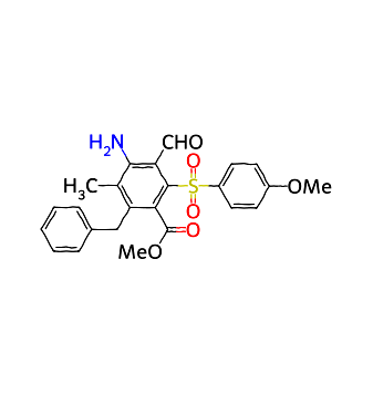 COC(=O)c1c(Cc2ccccc2)c(C)c(N)c(C=O)c1S(=O)(=O)c1ccc(OC)cc1